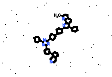 Cc1ccc2ccc3c(-c4ccccc4)cc(-c4ccc(-c5ccc(-c6nc(-c7ccccc7)nc(-c7cccc(-c8cccc9ccncc89)c7)n6)cc5)cc4)nc3c2n1